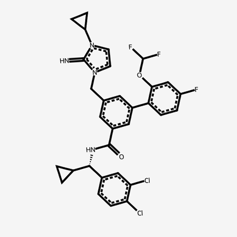 N=c1n(Cc2cc(C(=O)N[C@H](c3ccc(Cl)c(Cl)c3)C3CC3)cc(-c3ccc(F)cc3OC(F)F)c2)ccn1C1CC1